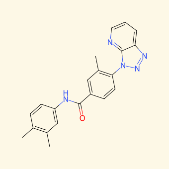 Cc1ccc(NC(=O)c2ccc(-n3nnc4cccnc43)c(C)c2)cc1C